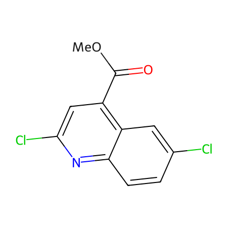 COC(=O)c1cc(Cl)nc2ccc(Cl)cc12